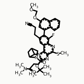 COCOc1cc(-c2c(CCC#N)cc3c(nc(SC)c4nc(CCC(=O)N(C)C)n(C5C6CC5N(C(=O)OC(C)(C)C)C6)c43)c2F)c2ccccc2c1